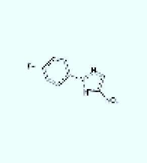 O=[N+]([O-])c1cnn(-c2ccc(F)cc2)n1